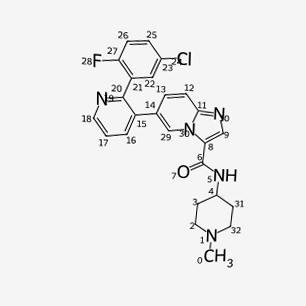 CN1CCC(NC(=O)c2cnc3ccc(-c4cccnc4-c4cc(Cl)ccc4F)cn23)CC1